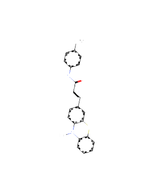 CCN1c2ccccc2Sc2cc(/C=C/C(=O)Nc3ccc(OC)cc3)ccc21